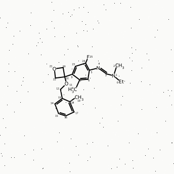 CCN(C)C=Nc1cc(C)c(C2(OCc3ccccc3C)COC2)cc1F